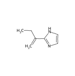 C=C(CC)c1ncc[nH]1